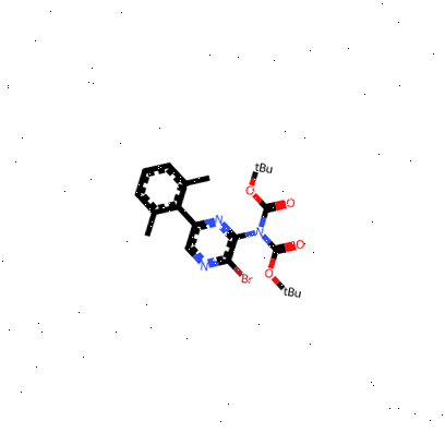 Cc1cccc(C)c1-c1cnc(Br)c(N(C(=O)OC(C)(C)C)C(=O)OC(C)(C)C)n1